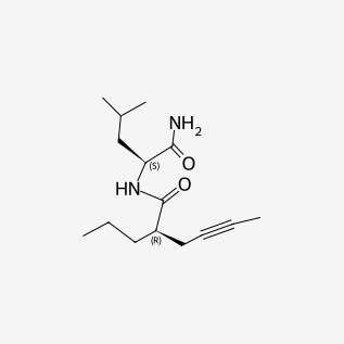 CC#CC[C@@H](CCC)C(=O)N[C@@H](CC(C)C)C(N)=O